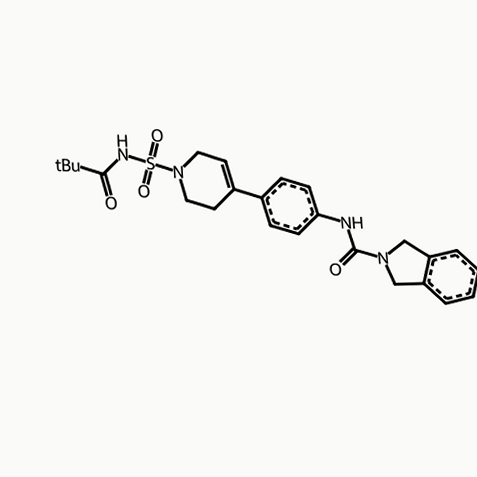 CC(C)(C)C(=O)NS(=O)(=O)N1CC=C(c2ccc(NC(=O)N3Cc4ccc(F)cc4C3)cc2)CC1